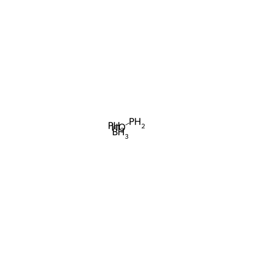 B.OP.P